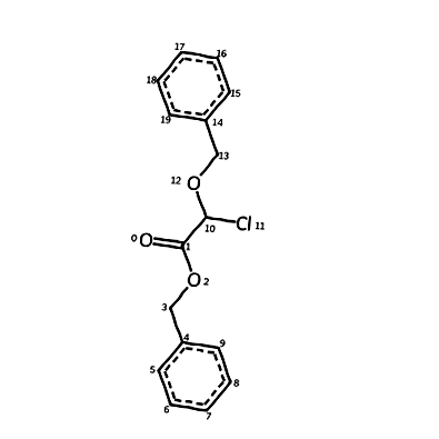 O=C(OCc1ccccc1)C(Cl)OCc1ccccc1